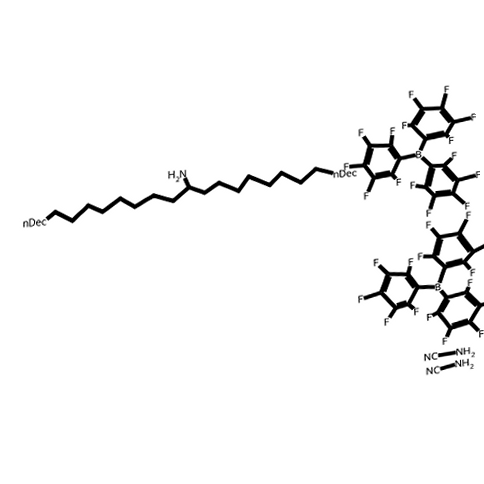 CCCCCCCCCCCCCCCCCCC(N)CCCCCCCCCCCCCCCCCC.Fc1c(F)c(F)c(B(c2c(F)c(F)c(F)c(F)c2F)c2c(F)c(F)c(F)c(F)c2F)c(F)c1F.Fc1c(F)c(F)c(B(c2c(F)c(F)c(F)c(F)c2F)c2c(F)c(F)c(F)c(F)c2F)c(F)c1F.N#CN.N#CN